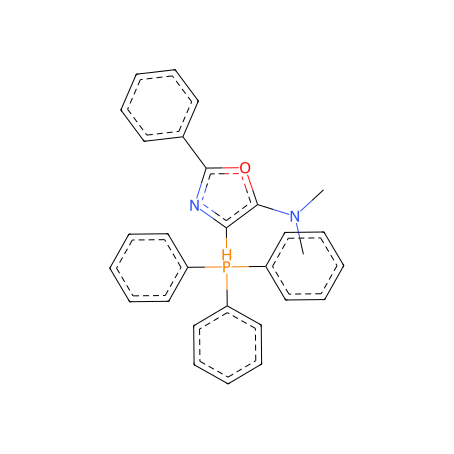 CN(C)c1oc(-c2ccccc2)nc1[PH](c1ccccc1)(c1ccccc1)c1ccccc1